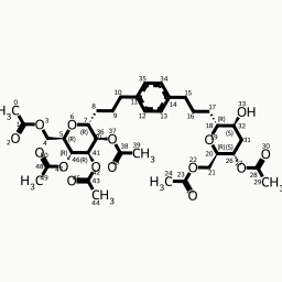 CC(=O)OC[C@H]1O[C@H](CCCc2ccc(CCC[C@H]3O[C@H](COC(C)=O)[C@@H](OC(C)=O)C[C@@H]3O)cc2)[C@@H](OC(C)=O)[C@@H](OC(C)=O)[C@@H]1OC(C)=O